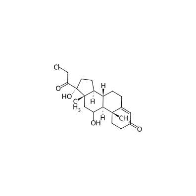 C[C@]12CCC(=O)C=C1CC[C@@H]1[C@@H]2C(O)C[C@@]2(C)[C@H]1CC[C@]2(O)C(=O)CCl